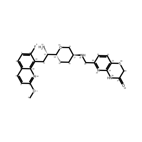 COc1ccc2ccc(F)c(C[C@H](N)[C@H]3CC[C@H](NCc4ccc5c(n4)NC(=O)CS5)CO3)c2n1